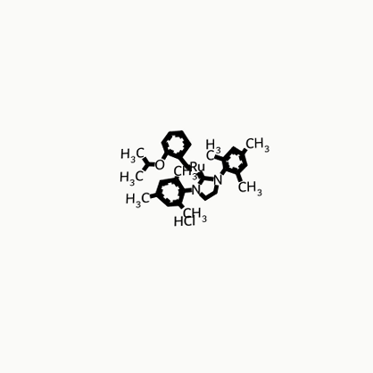 Cc1cc(C)c(N2CCN(c3c(C)cc(C)cc3C)[C]2=[Ru]=[CH]c2ccccc2OC(C)C)c(C)c1.Cl